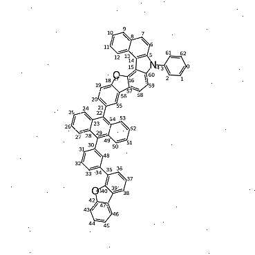 c1ccc(-n2c3ccc4ccccc4c3c3c4oc5ccc(-c6c7ccccc7c(-c7cccc(-c8cccc9c8oc8ccccc89)c7)c7ccccc67)cc5c4ccc32)cc1